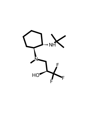 CN(C[C@H](O)C(F)(F)F)[C@H]1CCCC[C@@H]1NC(C)(C)C